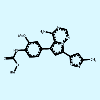 COc1cc(-c2cc(-c3cc(C)ns3)n3ncnc(N)c23)ccc1NC(=O)OC(C)(C)C